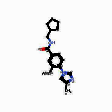 COc1cc(C(=O)NCC2CCCC2)ccc1-n1cnc(C)c1